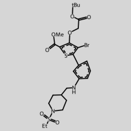 CCS(=O)(=O)N1CCC(CNc2cccc(-c3sc(C(=O)OC)c(OCC(=O)OC(C)(C)C)c3Br)c2)CC1